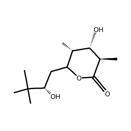 C[C@H]1C(=O)OC(C[C@H](O)C(C)(C)C)[C@H](C)[C@@H]1O